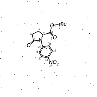 CC(C)(C)OC(=O)[C@@H]1CCC(=O)N1c1ccc([N+](=O)[O-])cc1